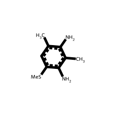 CSc1cc(C)c(N)c(C)c1N